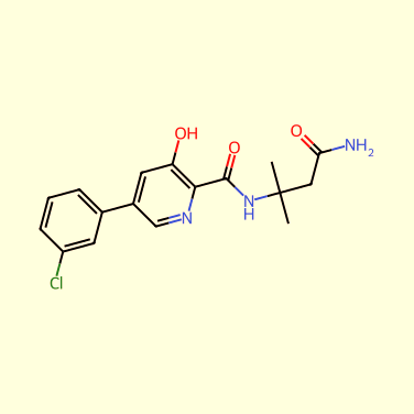 CC(C)(CC(N)=O)NC(=O)c1ncc(-c2cccc(Cl)c2)cc1O